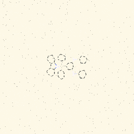 CN1c2ccccc2B2c3ccccc3N(C)c3cc([Si](c4ccccc4)(c4ccccc4)n4c5ccccc5c5ccccc54)cc1c32